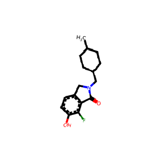 CC1CCC(CN2Cc3ccc(O)c(F)c3C2=O)CC1